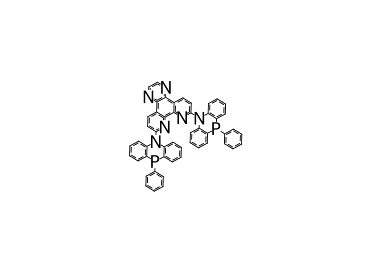 c1ccc(P2c3ccccc3N(c3ccc4c5nccnc5c5ccc(N6c7ccccc7P(c7ccccc7)c7ccccc76)nc5c4n3)c3ccccc32)cc1